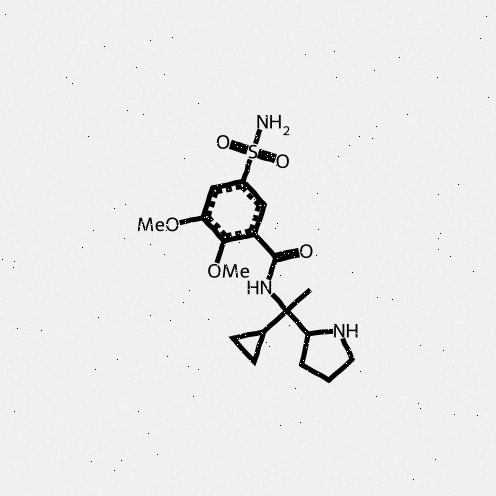 COc1cc(S(N)(=O)=O)cc(C(=O)NC(C)(C2CC2)C2CCCN2)c1OC